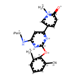 CCCC(C)Nc1cc(-c2ccc(=O)n(C)c2)nc(Oc2c(C)cccc2C#N)n1